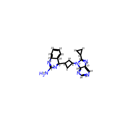 Nc1nc(C2CC(n3c(C4CC4)nc4cncnc43)C2)c2ccccc2n1